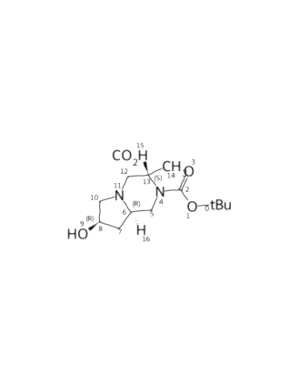 CC(C)(C)OC(=O)N1C[C@H]2C[C@@H](O)CN2C[C@@]1(C)C(=O)O